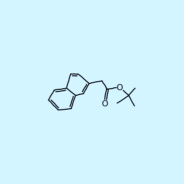 CC(C)(C)OC(=O)Cc1ccc2ccccc2c1